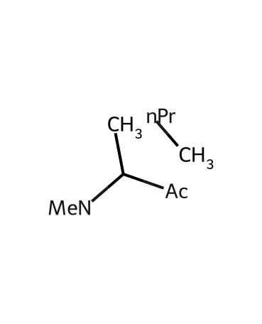 CCCC.CNC(C)C(C)=O